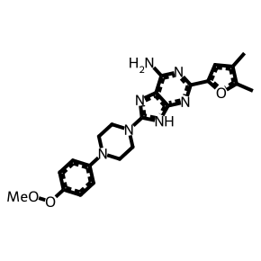 COOc1ccc(N2CCN(c3nc4c(N)nc(-c5cc(C)c(C)o5)nc4[nH]3)CC2)cc1